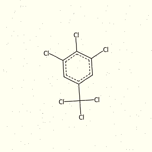 Clc1cc(C(Cl)(Cl)Cl)cc(Cl)c1Cl